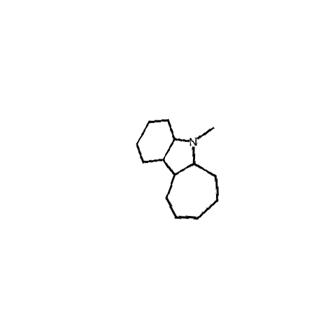 CN1C2CCCCCC2C2CCCCC21